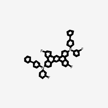 Fc1cccc(N(c2ccc(-c3ccccc3)cc2)c2ccc3c(c2)c2cc(F)ccc2c2cc4c5ccc(N(c6ccc(-c7ccccc7)cc6)c6cccc(F)c6)cc5c5cc(F)ccc5c4cc32)c1